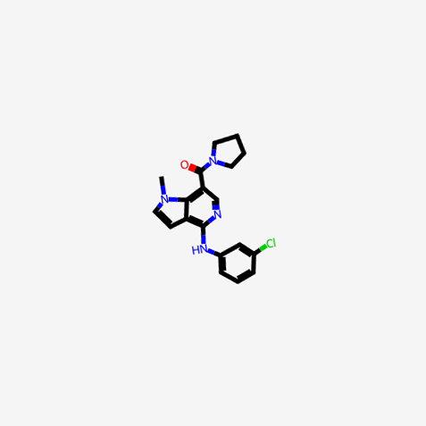 Cn1ccc2c(Nc3cccc(Cl)c3)ncc(C(=O)N3CCCC3)c21